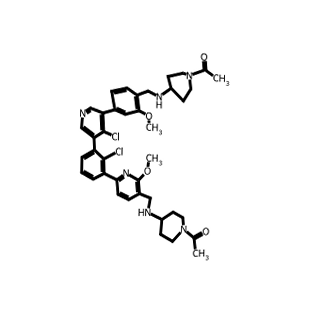 COc1cc(-c2cncc(-c3cccc(-c4ccc(CNC5CCN(C(C)=O)CC5)c(OC)n4)c3Cl)c2Cl)ccc1CNC1CCN(C(C)=O)CC1